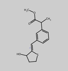 COC(=O)C(C)c1cccc(/C=C2\SCCC2O)c1